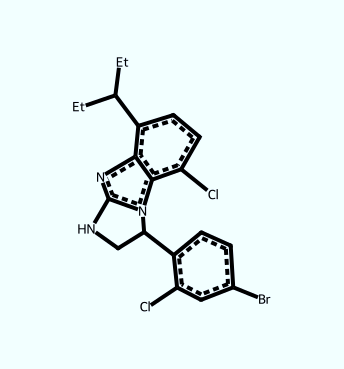 CCC(CC)c1ccc(Cl)c2c1nc1n2C(c2ccc(Br)cc2Cl)CN1